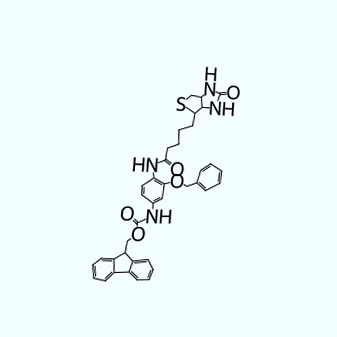 O=C(CCCCC1SCC2NC(=O)NC21)Nc1ccc(NC(=O)OCC2c3ccccc3-c3ccccc32)cc1OCc1ccccc1